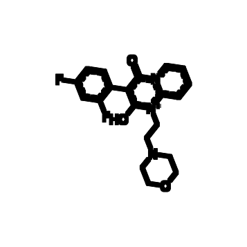 O=c1c(-c2ccc(F)cc2F)c(O)[n+](CCN2CCOCC2)c2ccccn12